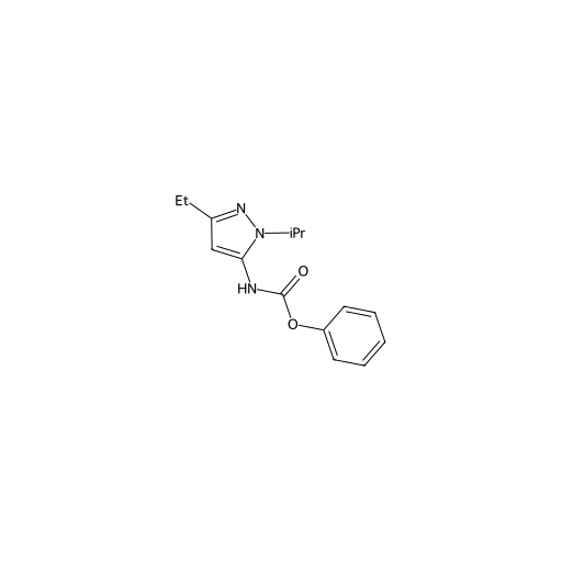 CCc1cc(NC(=O)Oc2ccccc2)n(C(C)C)n1